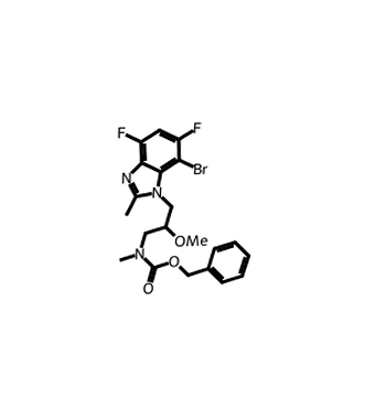 COC(CN(C)C(=O)OCc1ccccc1)Cn1c(C)nc2c(F)cc(F)c(Br)c21